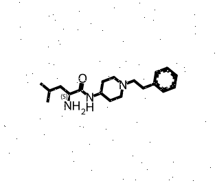 CC(C)C[C@H](N)C(=O)NC1CCN(CCc2ccccc2)CC1